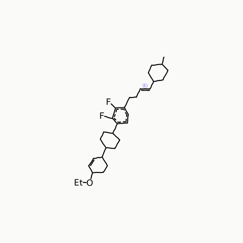 CCOC1C=CC(C2CCC(c3ccc(CC/C=C/C4CCC(C)CC4)c(F)c3F)CC2)CC1